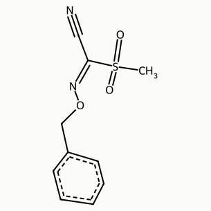 CS(=O)(=O)C(C#N)=NOCc1ccccc1